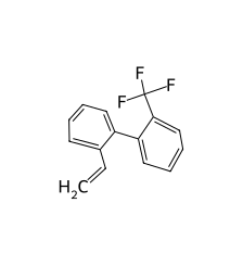 C=Cc1ccccc1-c1ccccc1C(F)(F)F